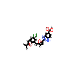 COC(=O)c1ccc2[nH]c(-c3ccc(Cc4cc(Cl)cc5cc(C(C)C)oc45)o3)nc2c1